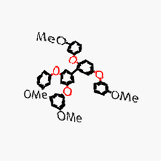 COc1cccc(Oc2cc(Oc3cccc(OC)c3)cc(-c3cc(Oc4cccc(OC)c4)ccc3Oc3cccc(OC)c3)c2)c1